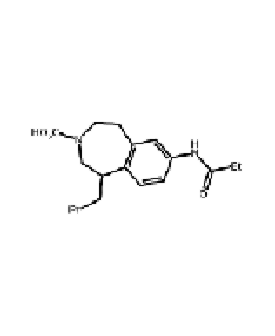 CCC(=O)Nc1ccc2c(c1)CCN(C(=O)O)CC2CC(C)C